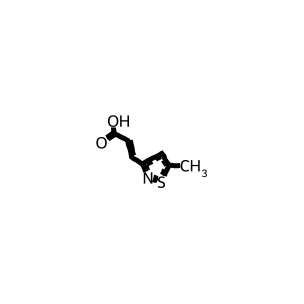 Cc1cc(/C=C/C(=O)O)ns1